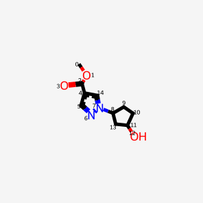 COC(=O)c1cnn(C2CCC(O)C2)c1